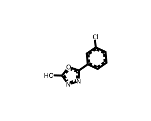 Oc1nnc(-c2cccc(Cl)c2)o1